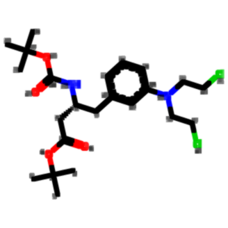 CC(C)(C)OC(=O)C[C@@H](Cc1cccc(N(CCCl)CCCl)c1)NC(=O)OC(C)(C)C